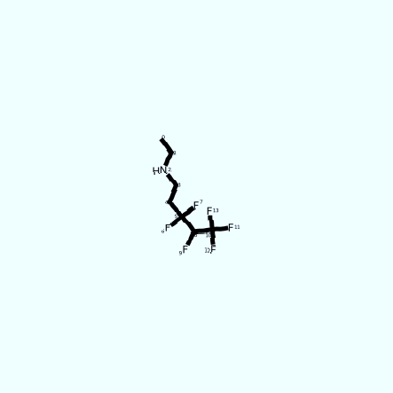 CCNCCC(F)(F)C(F)C(F)(F)F